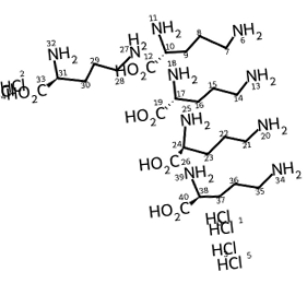 Cl.Cl.Cl.Cl.Cl.Cl.NCCC[C@@H](N)C(=O)O.NCCC[C@@H](N)C(=O)O.NCCC[C@H](N)C(=O)O.NCCC[C@H](N)C(=O)O.NCCC[C@H](N)C(=O)O